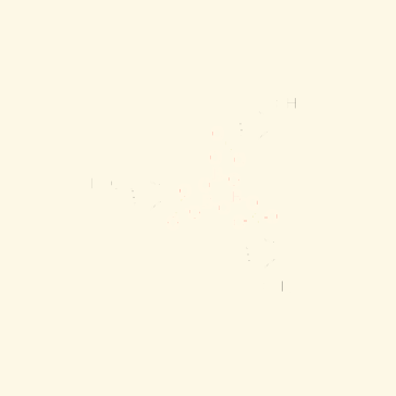 Cc1ccc(S(=O)(=O)OB2OB(OS(=O)(=O)c3ccc(C)cc3)OB(OS(=O)(=O)c3ccc(C)cc3)O2)cc1